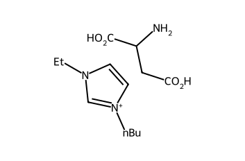 CCCC[n+]1ccn(CC)c1.NC(CC(=O)O)C(=O)O